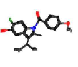 CCC(C)C(C(=O)O)c1c(C)n(C(=O)c2ccc(OC(F)(F)F)cc2)c2cc(F)c(O)cc12